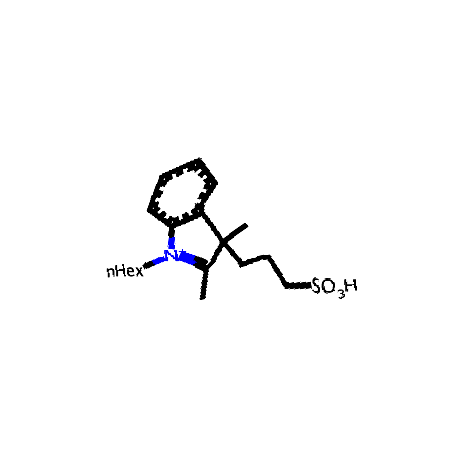 CCCCCC[N+]1=C(C)C(C)(CCCS(=O)(=O)O)c2ccccc21